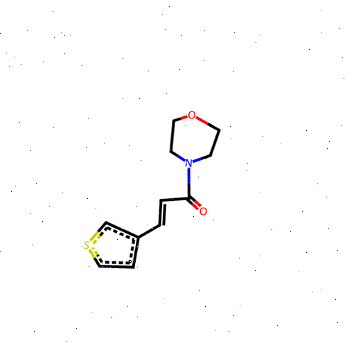 O=C(/C=C/c1ccsc1)N1CCOCC1